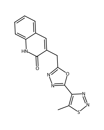 Cc1snnc1-c1nnc(Cc2cc3ccccc3[nH]c2=O)o1